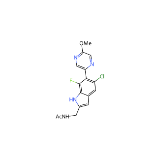 COc1cnc(-c2c(Cl)cc3cc(CNC(C)=O)[nH]c3c2F)cn1